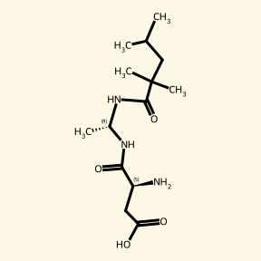 CC(C)CC(C)(C)C(=O)N[C@@H](C)NC(=O)[C@@H](N)CC(=O)O